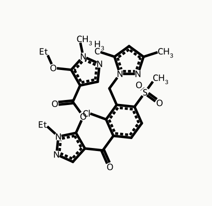 CCOc1c(C(=O)Oc2c(C(=O)c3ccc(S(C)(=O)=O)c(Cn4nc(C)cc4C)c3Cl)cnn2CC)cnn1C